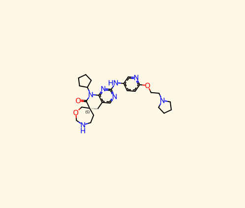 O=C1N(C2CCCC2)c2nc(Nc3ccc(OCCN4CCCC4)nc3)ncc2C[C@@]12CCNCOC2